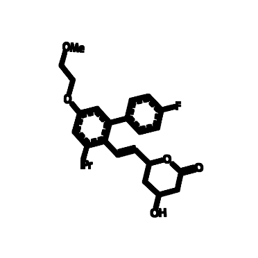 COCCOc1cc(-c2ccc(F)cc2)c(/C=C/C2CC(O)CC(=O)O2)c(C(C)C)c1